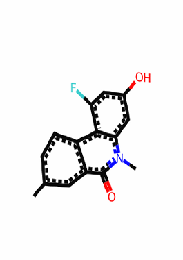 Cc1ccc2c(c1)c(=O)n(C)c1cc(O)cc(F)c21